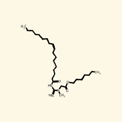 CCCCCCCC/C=C\CCCCCCCC(=O)NC(=N)N(C)CC(=O)OCCCCCCC